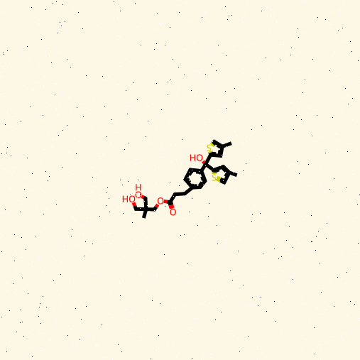 Cc1csc(C(O)(c2ccc(CCC(=O)OCC(C)(CO)CO)cc2)c2cc(C)cs2)c1